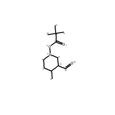 CC1CCN(OC(=O)C(C)(C)C)CC1C=O